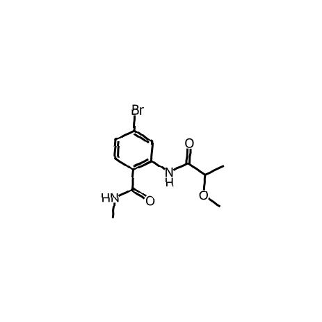 CNC(=O)c1ccc(Br)cc1NC(=O)C(C)OC